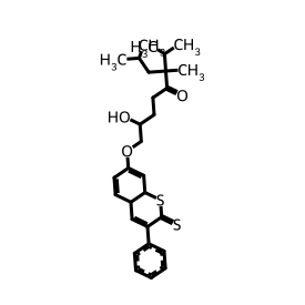 CC(C)CC(C)(C(=O)CCC(O)COC1=CC2SC(=S)C(c3ccccc3)=CC2C=C1)C(C)C